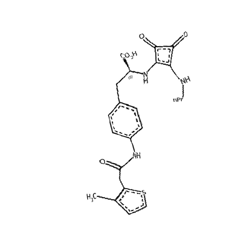 CCCNc1c(N[C@@H](Cc2ccc(NC(=O)c3sccc3C)cc2)C(=O)O)c(=O)c1=O